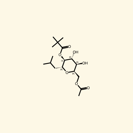 CC(=O)OC[C@H]1O[C@H](CC(C)C)[C@@H](OC(=O)C(C)(C)C)[C@H](O)[C@H]1O